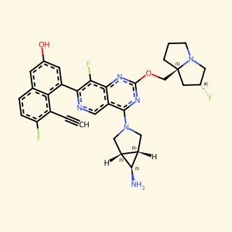 C#Cc1c(F)ccc2cc(O)cc(-c3ncc4c(N5C[C@@H]6[C@@H](N)[C@@H]6C5)nc(OC[C@@]56CCCN5C[C@H](F)C6)nc4c3F)c12